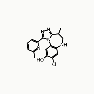 Cc1cccc(-c2nnc3n2-c2cc(O)c(Cl)cc2NCC3C)n1